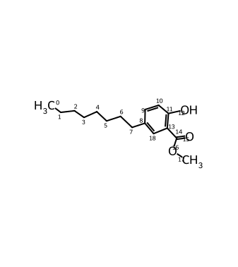 CCCCCCCCc1ccc(O)c(C(=O)OC)c1